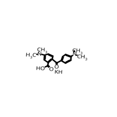 CN(C)c1ccc(C(=O)c2ccc(N(C)C)cc2C(=O)O)cc1.[KH]